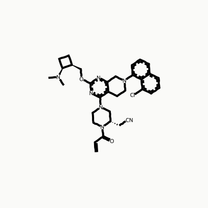 C=CC(=O)N1CCN(c2nc(OC[C@@H]3CC[C@@H]3N(C)C)nc3c2CCN(c2cccc4cccc(Cl)c24)C3)C[C@@H]1CC#N